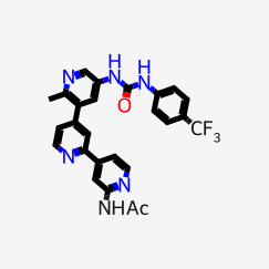 CC(=O)Nc1cc(-c2cc(-c3cc(NC(=O)Nc4ccc(C(F)(F)F)cc4)cnc3C)ccn2)ccn1